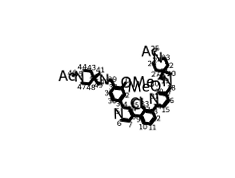 COc1cc(-c2nccc(-c3cccc(-c4ccc(CN5CC6(CCN(C(C)=O)CC6)C5)c(OC)n4)c3Cl)c2Cl)ccc1CN1CC2(CCN(C(C)=O)CC2)C1